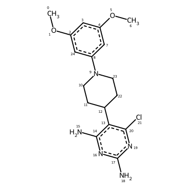 COc1cc(OC)cc(N2CCC(c3c(N)nc(N)nc3Cl)CC2)c1